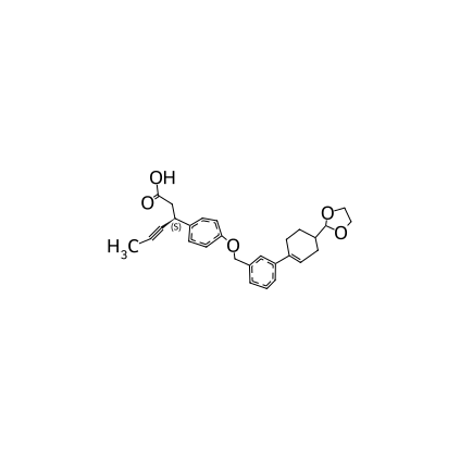 CC#C[C@@H](CC(=O)O)c1ccc(OCc2cccc(C3=CCC(C4OCCO4)CC3)c2)cc1